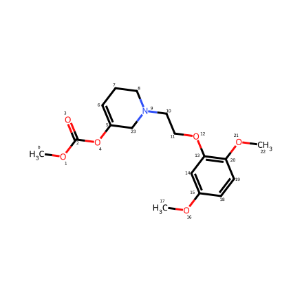 COC(=O)OC1=CCCN(CCOc2cc(OC)ccc2OC)C1